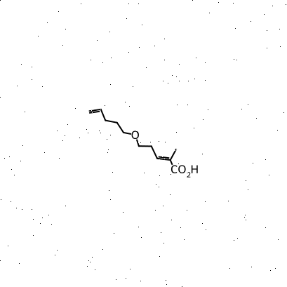 C=CCCCOCCC=C(C)C(=O)O